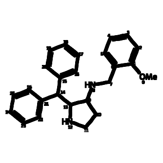 COc1ccccc1CNC1CCNC1C(c1ccccc1)c1ccccc1